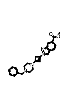 COC(=O)c1ccc2cn(C34CC(N5CCN(Cc6ccccc6)CC5)(C3)C4)nc2c1